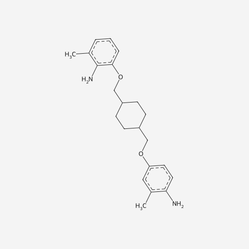 Cc1cc(OCC2CCC(COc3cccc(C)c3N)CC2)ccc1N